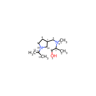 CC(CO)N(C)CC1CCN(C(C)C)C1